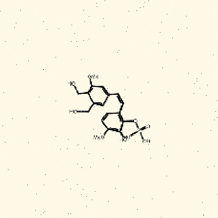 COc1ccc(/C=C\c2cc(CO)c(CO)c(OC)c2)c(OP(=O)(O)O)c1O